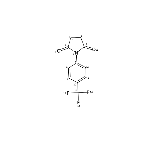 O=C1C=CC(=O)N1c1ccc(C(F)(F)F)cc1